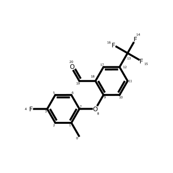 Cc1cc(F)ccc1Oc1ccc(C(F)(F)F)cc1C=O